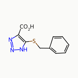 O=C(O)c1nn[nH]c1SCc1ccccc1